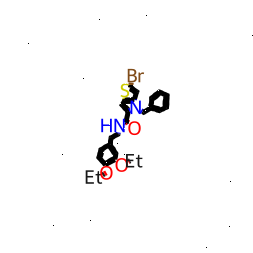 CCOc1ccc(CCNC(=O)c2cc3sc(Br)cc3n2Cc2ccccc2)cc1OCC